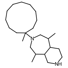 CC1CN(C2(C)CCCCCCCCCC2)CC(C)C2CNCCC12